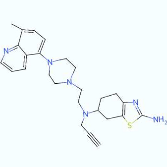 C#CCN(CCN1CCN(c2ccc(C)c3ncccc23)CC1)C1CCc2nc(N)sc2C1